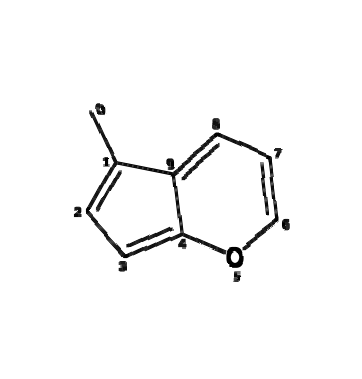 Cc1ccc2occcc1-2